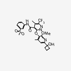 COc1nc(C2(O)CCC2)cc(C)c1Oc1nnc(C(F)(F)F)c(C)c1C(=O)Nc1cccc(S(C)(=O)=O)c1